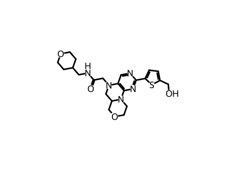 O=C(CN1CC2COCCN2c2nc(-c3ccc(CO)s3)ncc21)NCC1CCOCC1